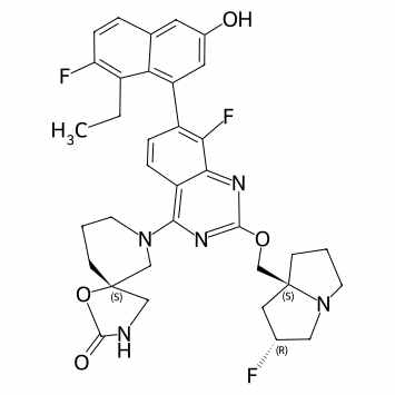 CCc1c(F)ccc2cc(O)cc(-c3ccc4c(N5CCC[C@]6(CNC(=O)O6)C5)nc(OC[C@@]56CCCN5C[C@H](F)C6)nc4c3F)c12